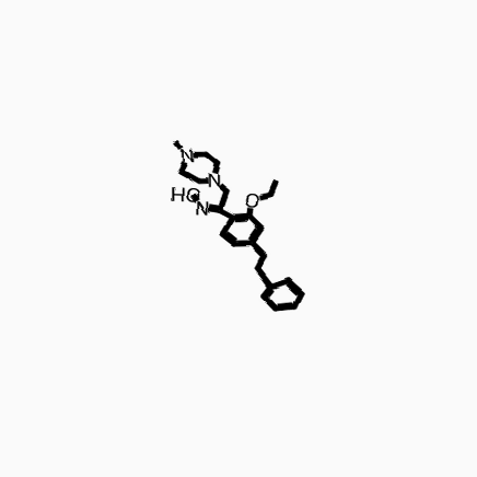 CCOc1cc(CCc2ccccc2)ccc1C(CN1CCN(C)CC1)=NO